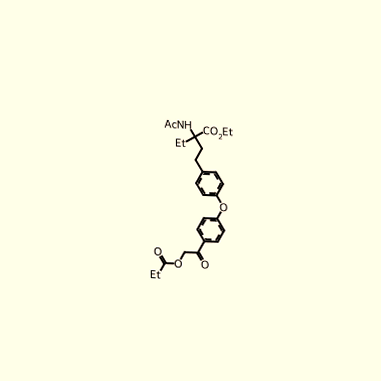 CCOC(=O)C(CC)(CCc1ccc(Oc2ccc(C(=O)COC(=O)CC)cc2)cc1)NC(C)=O